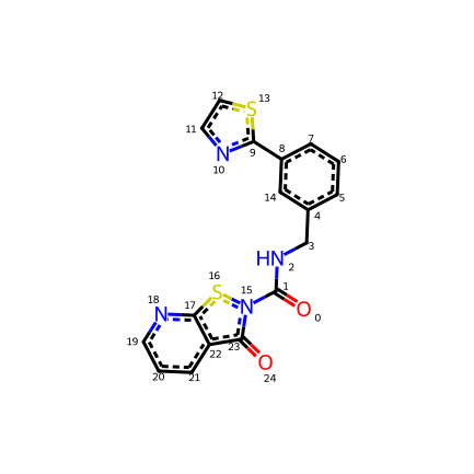 O=C(NCc1cccc(-c2nccs2)c1)n1sc2ncccc2c1=O